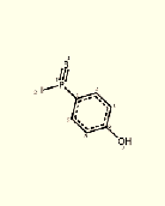 B#P(I)c1ccc(O)cc1